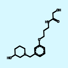 O=C(CO)NCCCOc1cccc(CN2CCCC(O)C2)c1